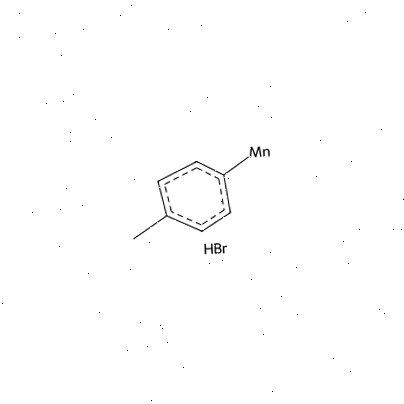 Br.Cc1cc[c]([Mn])cc1